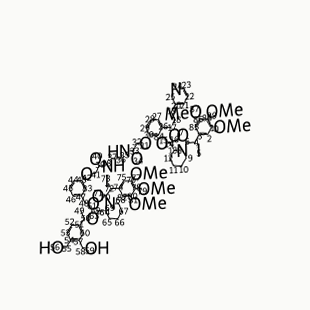 COc1cc([C@H](I)C(=O)N2CCCC[C@H]2C(=O)O[C@H](CCc2cccnc2)c2cccc(OCC(=O)NCCNC(=O)COc3cccc([C@@H](CCc4ccc(CO)c(CO)c4)OC(=O)[C@@H]4CCCCN4C(=O)[C@@H](I)c4cc(OC)c(OC)c(OC)c4)c3)c2)cc(OC)c1OC